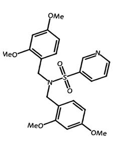 COc1ccc(CN(Cc2ccc(OC)cc2OC)S(=O)(=O)c2cccnc2)c(OC)c1